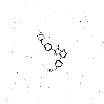 OCc1ccc(-c2ccnc3[nH]c(-c4ccc(CN5CCOCC5)cc4)nc23)cc1